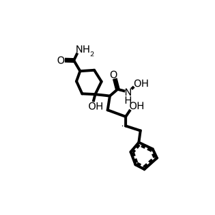 NC(=O)C1CCC(O)(C(CC(O)[CH]Cc2ccccc2)C(=O)NO)CC1